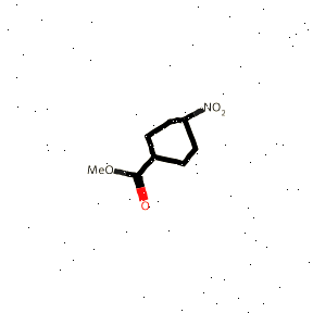 COC(=O)C1CCC([N+](=O)[O-])CC1